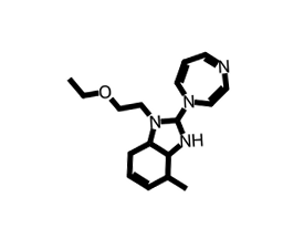 CCOCCN1C2CC=CC(C)C2NC1N1C=CC=NC=C1